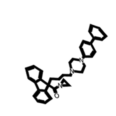 O=C(N1CC1)C1(CCCCN2CCN(c3ccc(-c4ccccc4)cc3)CC2)c2ccccc2-c2ccccc21